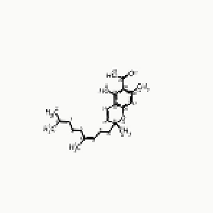 CC(C)=CCCC(C)=CCCC1(C)C=Cc2c(cc(C)c(C(=O)O)c2O)O1